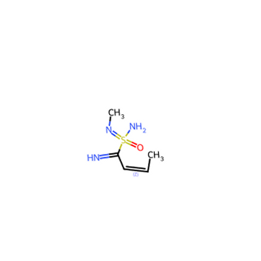 C/C=C\C(=N)S(N)(=O)=NC